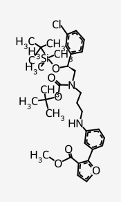 COC(=O)c1ccoc1-c1cccc(NCCCN(C[C@@H](O[Si](C)(C)C(C)(C)C)c2cccc(Cl)c2)C(=O)OC(C)(C)C)c1